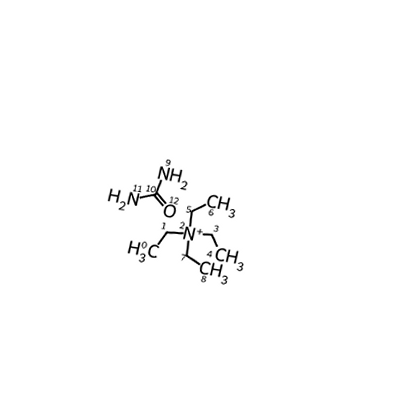 CC[N+](CC)(CC)CC.NC(N)=O